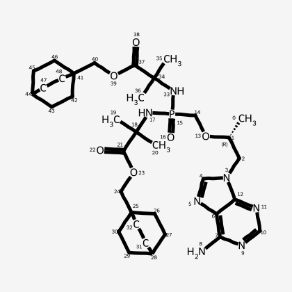 C[C@H](Cn1cnc2c(N)ncnc21)OCP(=O)(NC(C)(C)C(=O)OCC12CCC(CC1)CC2)NC(C)(C)C(=O)OCC12CCC(CC1)CC2